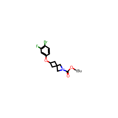 CC(C)(C)OC(=O)N1CC2(CC(Oc3ccc(Br)c(F)c3)C2)C1